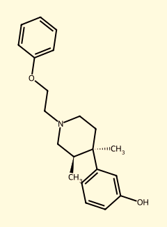 C[C@H]1CN(CCOc2ccccc2)CC[C@@]1(C)c1cccc(O)c1